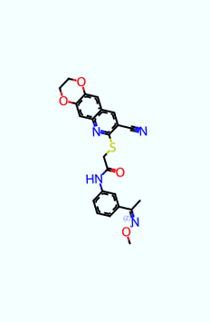 CO/N=C(/C)c1cccc(NC(=O)CSc2nc3cc4c(cc3cc2C#N)OCCO4)c1